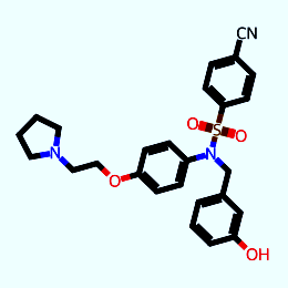 N#Cc1ccc(S(=O)(=O)N(Cc2cccc(O)c2)c2ccc(OCCN3CCCC3)cc2)cc1